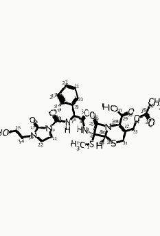 CS[C@@]1(NC(=O)C(NC(=O)N2CCN(CCO)C2=O)c2ccccc2)C(=O)N2C(C(=O)O)=C(COC(C)=O)CS[C@@H]21